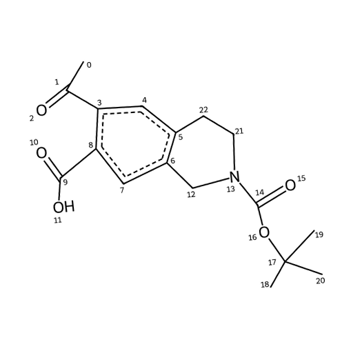 CC(=O)c1cc2c(cc1C(=O)O)CN(C(=O)OC(C)(C)C)CC2